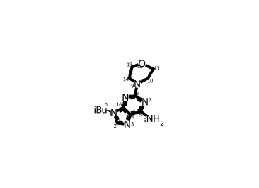 CC[C@H](C)n1cnc2c(N)nc(N3CCOCC3)nc21